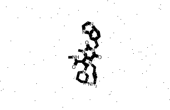 CC#CCn1c(N2CCC[C@@H](N)C2)c(C(=O)NC)c2c1c(=O)n(Cc1ccc3nccnc3c1)c(=O)n2C